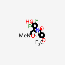 CNC(=O)Cc1c(C)n(C(=O)c2ccc(OC(F)(F)F)cc2)c2cc(F)c(O)c(F)c12